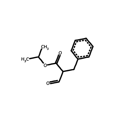 CC(C)OC(=O)C(C=O)Cc1ccccc1